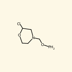 POCN1CCOC(Cl)C1